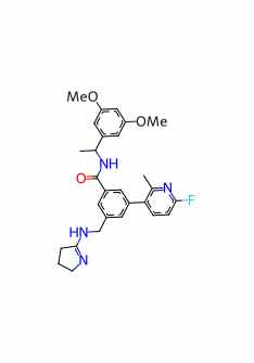 COc1cc(OC)cc(C(C)NC(=O)c2cc(CNC3=NCCC3)cc(-c3ccc(F)nc3C)c2)c1